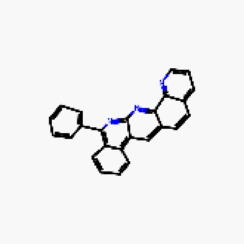 c1ccc(-c2nc3nc4c(ccc5cccnc54)cc3c3ccccc23)cc1